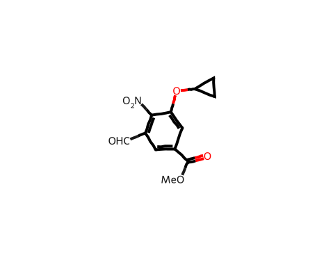 COC(=O)c1cc(C=O)c([N+](=O)[O-])c(OC2CC2)c1